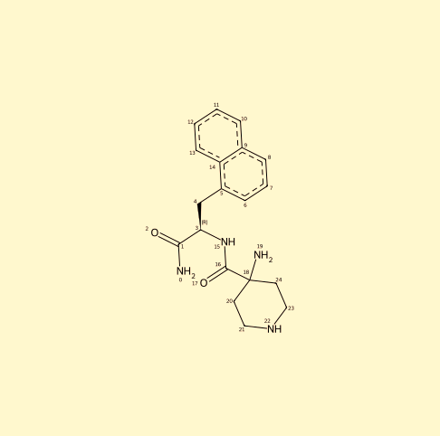 NC(=O)[C@@H](Cc1cccc2ccccc12)NC(=O)C1(N)CCNCC1